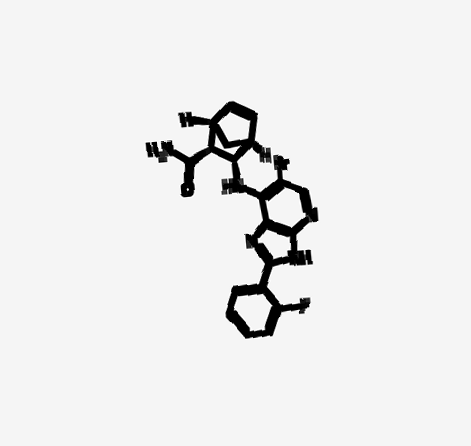 NC(=O)[C@@H]1[C@H](Nc2c(Br)cnc3[nH]c(-c4ccccc4F)nc23)[C@H]2C=C[C@@H]1C2